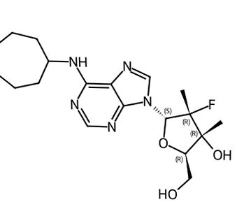 C[C@]1(F)[C@@H](n2cnc3c(NC4CCCCCC4)ncnc32)O[C@H](CO)[C@@]1(C)O